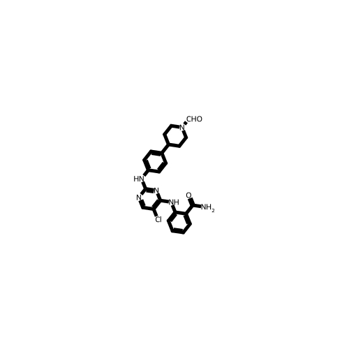 NC(=O)c1ccccc1Nc1nc(Nc2ccc(C3CCN(C=O)CC3)cc2)ncc1Cl